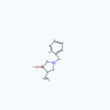 CC1CN(Cc2ccccc2)CC1=O